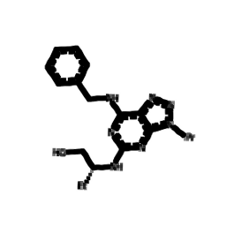 CC[C@H](CO)Nc1nc(NCc2ccccc2)c2nnn(C(C)C)c2n1